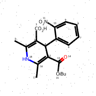 CC1=C(C(=O)O)C(c2ccccc2[N+](=O)[O-])C(C(=O)OCC(C)C)=C(C)N1